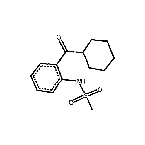 CS(=O)(=O)Nc1ccccc1C(=O)C1CCCCC1